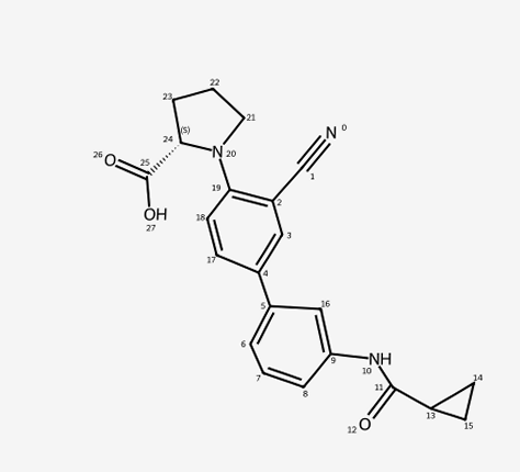 N#Cc1cc(-c2cccc(NC(=O)C3CC3)c2)ccc1N1CCC[C@H]1C(=O)O